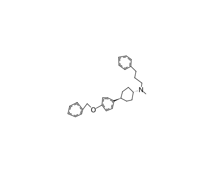 CN(CCCc1ccccc1)[C@H]1CC[C@H](c2ccc(OCc3ccccc3)cc2)CC1